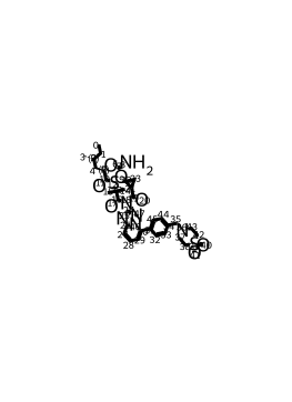 CC[C@@H](C)C[C@@H](OC(N)=O)C(=O)SC(C)(C)C(=O)N(C(=O)C1CC1)c1nc2cccc(-c3ccc(CN4CCS(=O)(=O)CC4)cc3)n2n1